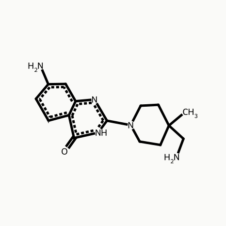 CC1(CN)CCN(c2nc3cc(N)c[c]c3c(=O)[nH]2)CC1